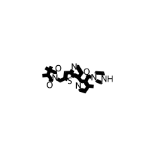 Cc1ccnc(-c2ccnc3cc(CN4C(=O)C(C)C(C)(C)C4=O)sc23)c1C(=O)N1CCNCC1